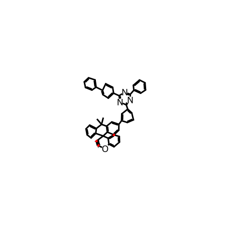 CC1(C)c2ccccc2C2(c3ccccc3Oc3ccccc32)c2ccc(-c3cccc(-c4nc(-c5ccccc5)nc(-c5ccc(-c6ccccc6)cc5)n4)c3)cc21